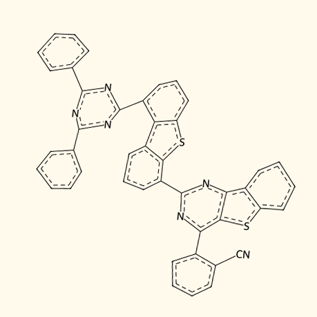 N#Cc1ccccc1-c1nc(-c2cccc3c2sc2cccc(-c4nc(-c5ccccc5)nc(-c5ccccc5)n4)c23)nc2c1sc1ccccc12